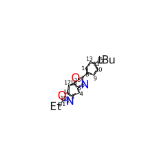 CCc1nc2cc3nc(-c4ccc(C(C)(C)C)cc4)oc3cc2o1